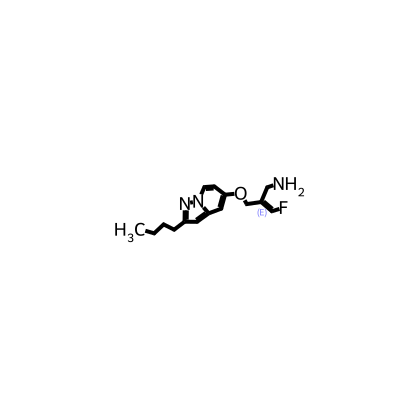 CCCCc1cc2cc(OC/C(=C/F)CN)ccn2n1